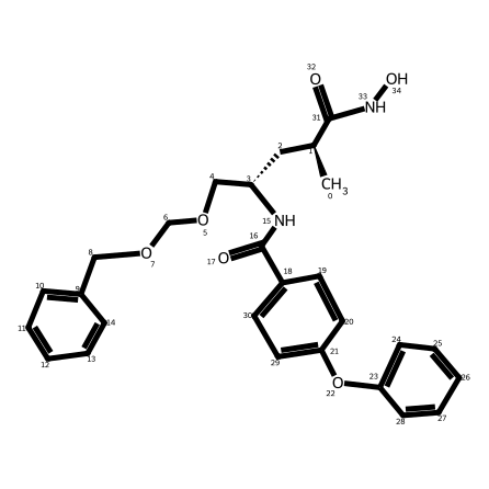 C[C@@H](C[C@@H](COCOCc1ccccc1)NC(=O)c1ccc(Oc2ccccc2)cc1)C(=O)NO